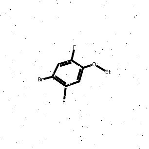 CCOc1cc(F)c(Br)cc1F